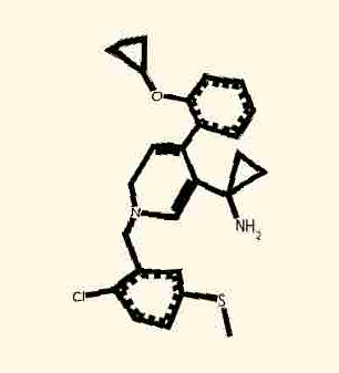 CSc1ccc(Cl)c(CN2C=C(C3(N)CC3)C(c3ccccc3OC3CC3)=CC2)c1